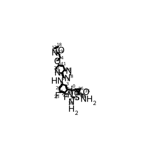 C[C@]1(c2cc(Nc3ncnc4cc(OCc5ncco5)cnc34)cc(F)c2F)N=C(N)S[C@@]2(C(N)=O)C[C@H]21